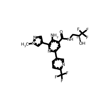 Cn1cc(-c2nc(-c3ccc(C(F)(F)F)nc3)cc(C(=O)NC[C@H](O)C(F)(F)F)c2N)cn1